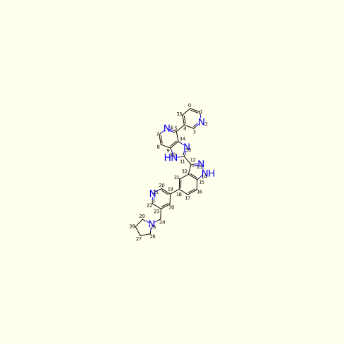 c1cncc(-c2nccc3[nH]c(-c4n[nH]c5ccc(-c6cncc(CN7CCCC7)c6)cc45)nc23)c1